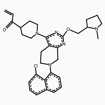 C=CC(=O)C1CCN(c2nc(OCC3CCCN3C)nc3c2CCN(c2cccc4cccc(Cl)c24)C3)CC1